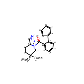 COC1(OC)CCC(CN)N(C(=O)c2ccccc2-c2ccccc2)C1